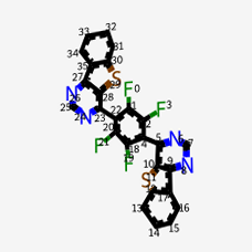 Fc1c(F)c(-c2ncnc3c2sc2ccccc23)c(F)c(F)c1-c1ncnc2c1sc1ccccc12